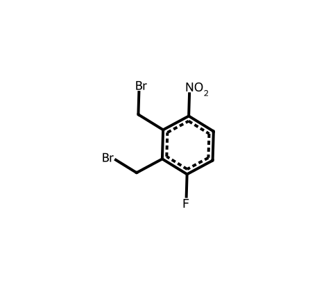 O=[N+]([O-])c1ccc(F)c(CBr)c1CBr